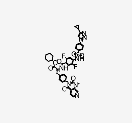 Cn1c(=O)n(-c2ccc(C[C@H](NC(=O)c3cc(F)c(NS(=O)(=O)c4ccc(-n5cc(C6CC6)nn5)cc4)cc3F)C(=O)OC3CCCCC3)cc2)c(=O)c2ccncc21